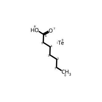 CCCCCCC(=O)O.[Te]